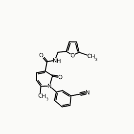 Cc1ccc(CNC(=O)c2ccc(C)n(-c3cccc(C#N)c3)c2=O)o1